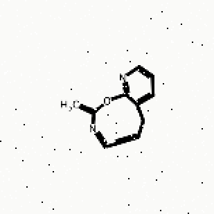 C=C1/N=C\C=C/Cc2cccnc2O1